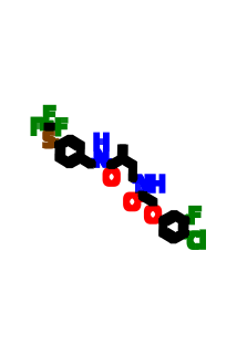 C=C(CCNC(=O)COc1ccc(Cl)c(F)c1)C(=O)NCc1ccc(SC(F)(F)F)cc1